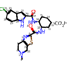 CN1CCc2nc(C(=O)N[C@@H]3C[C@@H](C(=O)O)CC[C@@H]3NC(=O)C3=CC4C=C(Cl)C=CC4N3)sc2C1